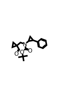 CC(C)(C)OC(=O)N(CC1(C=O)CC1)C1CC1c1ccccc1